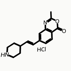 Cc1nc2cc(C=CC3CCNCC3)ccc2c(=O)o1.Cl